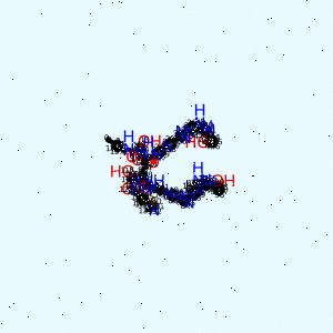 C#Cc1ccc(CNC(=O)[C@@H]2C[C@@H](O)CN2C(=O)[C@@H](NC(=O)N2CCC(N3CCC(c4cnc(N5CCc6[nH]c7nnc(-c8ccccc8O)cc7c6[C@H]5C)nc4)CC3)CC2)C(C)(C)CCC(C)(C)[C@H](NC(=O)N2CC3(CC(N4CCN(c5ccnc(N6CCN7c8cc(-c9ccccc9O)nnc8NC[C@H]7C6)n5)CC4)C3)C2)C(=O)N2C[C@H](O)C[C@H]2C(=O)NCc2ccc(-c3scnc3C)cc2)cc1